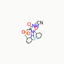 N#CCNC(=O)[C@H](CS(=O)(=O)Cc1cccc(F)c1)NC(=O)c1ccccc1